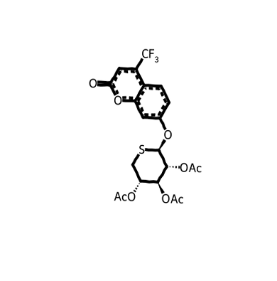 CC(=O)O[C@@H]1[C@@H](OC(C)=O)[C@H](OC(C)=O)CS[C@H]1Oc1ccc2c(C(F)(F)F)cc(=O)oc2c1